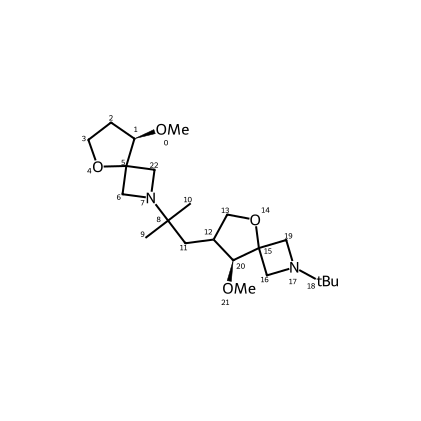 CO[C@@H]1CCOC12CN(C(C)(C)CC1COC3(CN(C(C)(C)C)C3)[C@H]1OC)C2